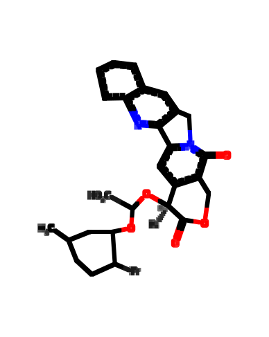 CC[C@@]1(OC(OC2CC(C)CCC2C(C)C)C(=O)O)C(=O)OCc2c1cc1n(c2=O)Cc2cc3ccccc3nc2-1